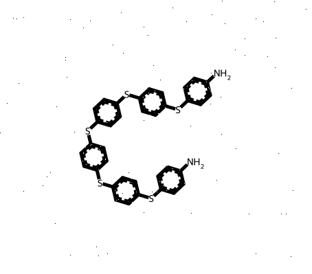 Nc1ccc(Sc2ccc(Sc3ccc(Sc4ccc(Sc5ccc(Sc6ccc(N)cc6)cc5)cc4)cc3)cc2)cc1